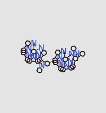 N#Cc1c(C#N)c(-n2c3ccccc3c3cc4c5ccccc5n(-c5ccccc5)c4cc32)c(-n2c3ccccc3c3ccccc32)c(-n2c3ccccc3c3ccccc32)c1-n1c2ccccc2c2cc(-c3ccc4c(c3)c3c5c6ccccc6n(-c6c(C#N)c(C#N)c(-n7c8ccccc8c8ccccc87)c(-n7c8ccccc8c8ccccc87)c6-n6c7ccccc7c7ccccc76)c5ccc3n4-c3ccccc3)ccc21